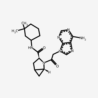 CC1(C)CCCC(NC(=O)[C@@H]2CC3C[C@H]3N2C(=O)Cn2cnc3c(N)ncnc32)C1